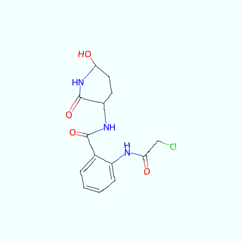 O=C(CCl)Nc1ccccc1C(=O)NC1CCC(O)NC1=O